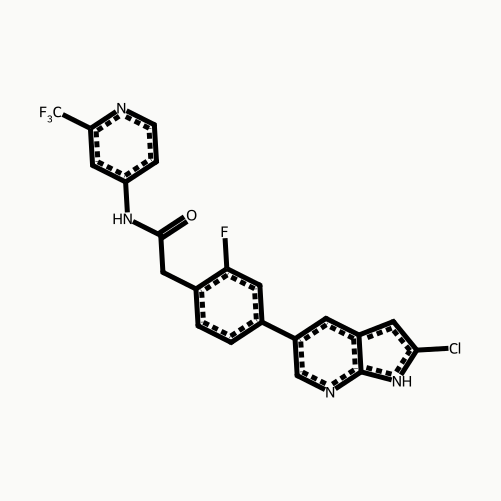 O=C(Cc1ccc(-c2cnc3[nH]c(Cl)cc3c2)cc1F)Nc1ccnc(C(F)(F)F)c1